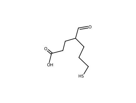 O=CC(CCCS)CCC(=O)O